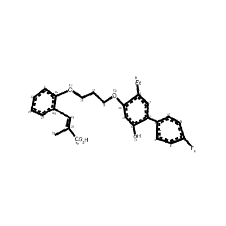 CCc1cc(-c2ccc(F)cc2)c(O)cc1OCCCOc1ccccc1/C=C(\C)C(=O)O